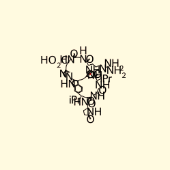 CC1NC(=O)C(NC(=O)C2CCC(=O)N2)C(C(C)C)c2ccc3c4c([nH]c3c2)-n2cnc(c2)CC(C(=O)O)NC(=O)CNC(=O)C(CCCN=C(N)N)NC(=O)C(C4)NC(=O)C(C(C)C)NC1=O